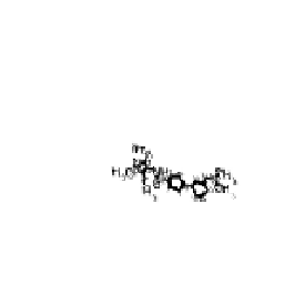 Cc1c(N[S+]([O-])c2ccc(-c3cccc(CN(C)C)c3)cc2)c(CC(C)C)nn1C